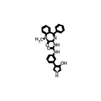 CN1C(=O)[C@H](NC(=O)Nc2cccc(C3=C(O)CNC3)c2)N=C(c2ccccc2)c2ccccc21